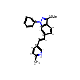 CSc1nn(-c2ccccc2)c2cc(C=Cc3ccc(C)nc3)ccc12